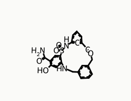 NC(=O)c1cc2c(cc1O)NCc1cccc(c1)COCc1cccc(c1)NS2(=O)=O